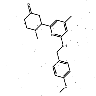 COc1ccc(CNc2cc(C)cc(C3CC(=O)CCC3C)n2)cc1